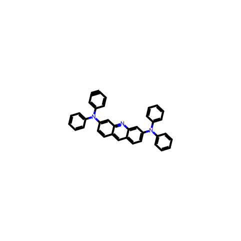 c1ccc(N(c2ccccc2)c2ccc3cc4ccc(N(c5ccccc5)c5ccccc5)cc4nc3c2)cc#1